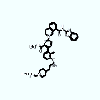 CCOC(=O)CN1CCC(CC[C@H](C)Oc2cccc(-c3ccc(N4CCc5cccc(C(=O)Nc6nc7ccccc7s6)c5C4)nc3C(=O)OC(C)(C)C)c2C)CC1